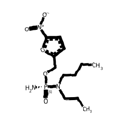 CCCCN(CCC)[P@@](N)(=O)OCc1ccc([N+](=O)[O-])o1